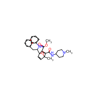 COC(=O)C1=C(C(=O)NC2CCN(C)CC2)C2(C)C=CC1(C(Cc1ccccc1)Nc1ccccc1)O2